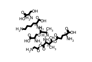 CC[C@H](C)[C@H](N)C(=O)OC(=O)CN.C[C@H](N)C(=O)OC[C@H](N)C(=O)O.NCCCC[C@H](N)C(=O)O.N[C@@H](CCC(=O)O)C(=O)O.N[C@@H](CO)C(=O)O